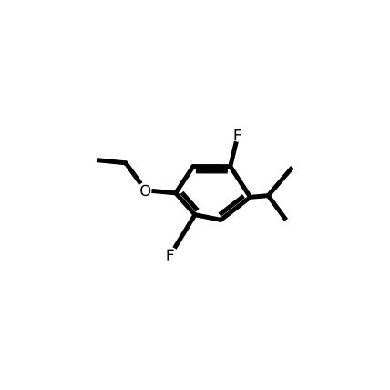 CCOc1cc(F)c(C(C)C)cc1F